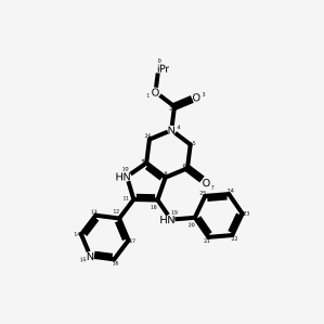 CC(C)OC(=O)N1CC(=O)c2c([nH]c(-c3ccncc3)c2Nc2ccccc2)C1